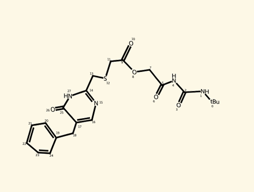 CC(C)(C)NC(=O)NC(=O)COC(=O)CSCc1ncc(Cc2ccccc2)c(=O)[nH]1